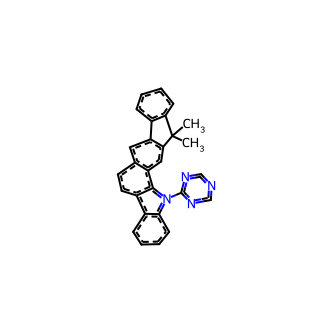 CC1(C)c2ccccc2-c2cc3ccc4c5ccccc5n(-c5ncncn5)c4c3cc21